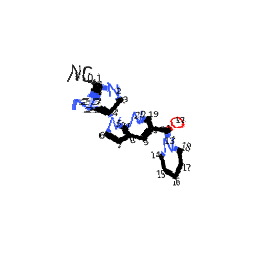 N#Cc1ncc(-n2ccc3cc(C(=O)N4CCCCC4)cnc32)cn1